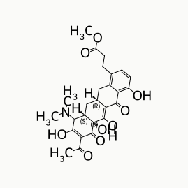 COC(=O)CCc1ccc(O)c2c1C[C@H]1C[C@H]3C(N(C)C)C(O)=C(C(C)=O)C(=O)[C@@]3(O)C(O)=C1C2=O